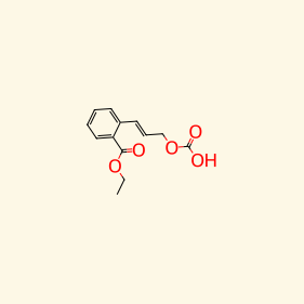 CCOC(=O)c1ccccc1C=CCOC(=O)O